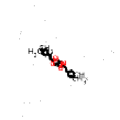 CC1(C)CCC(=CCC2OCC3(CO2)COC(CC=C2CCC(C)(C)CC2)OC3)CC1